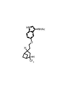 CC(=O)Nc1c[nH]c2ccc(OCC[C@@H]3C[C@H](C(F)(F)F)C4CC3C4)cc12